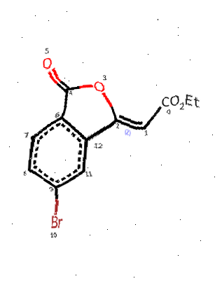 CCOC(=O)/C=C1\OC(=O)c2ccc(Br)cc21